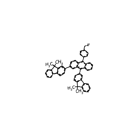 CC1(C)c2ccccc2-c2cc(-c3c4ccccc4c(-c4ccc(CF)cc4)c4ccc(-c5ccc6c(c5)C(C)(C)c5ccccc5-6)cc34)ccc21